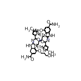 CCn1nc(C)cc1C(=O)/N=C1/NC2CC(C(N)=O)=CC(OCCCO)=C2N1C/C=C/Cn1/c(=N\C(=O)c2cc(C)nn2CC)[nH]c2cc(C(N)=O)cc(OC)c21